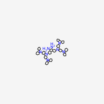 Nc1c(N)c2cc(-n3c4ccc(-n5c6ccccc6c6ccccc65)cc4c4ccc(-n5c6ccccc6c6ccccc65)cc43)ccc2c2ccc(-n3c4ccc(-n5c6ccccc6c6ccccc65)cc4c4cc(-n5c6ccccc6c6ccccc65)ccc43)cc12